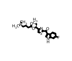 CC[C@H](OC(=O)CCCN(C)C)c1csc(C(=O)c2c[nH]c3cc(F)ccc23)n1